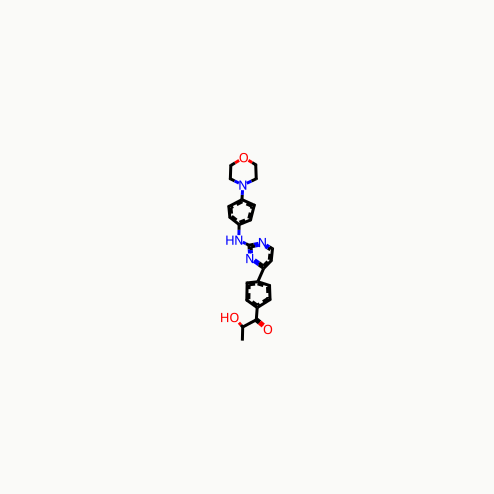 CC(O)C(=O)c1ccc(-c2ccnc(Nc3ccc(N4CCOCC4)cc3)n2)cc1